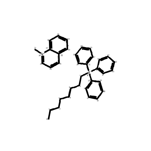 CCCCCCCC[B-](c1ccccc1)(c1ccccc1)c1ccccc1.C[n+]1cccc2ccccc21